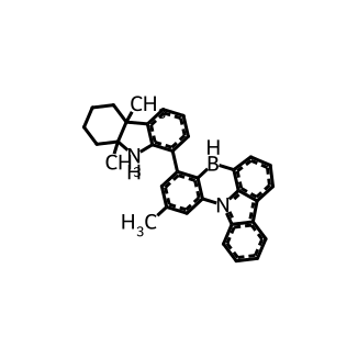 Cc1cc(-c2cccc3c2NC2(C)CCCCC32C)c2c(c1)-n1c3ccccc3c3cccc(c31)B2